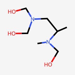 CC(CN(CO)CO)N(C)CO